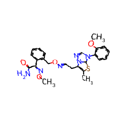 CON=C(C(N)=O)c1ccccc1CON=CCC1=C(C)SC2N1N=CN2c1ccccc1OC